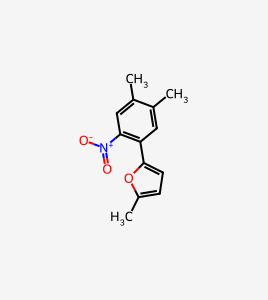 Cc1ccc(-c2cc(C)c(C)cc2[N+](=O)[O-])o1